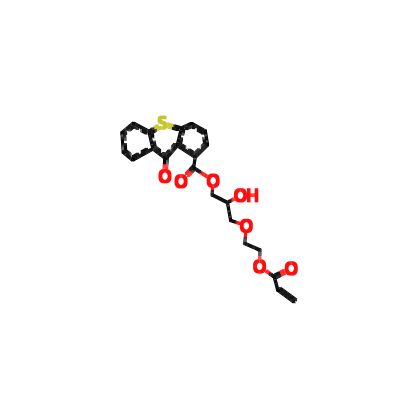 C=CC(=O)OCCOCC(O)COC(=O)c1cccc2sc3ccccc3c(=O)c12